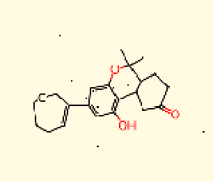 CC1(C)Oc2cc(C3=CCCCCC3)cc(O)c2C2CC(=O)CCC21